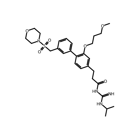 COCCCOc1cc(CCC(=O)NC(=N)NC(C)C)ccc1-c1cccc(CS(=O)(=O)N2CCOCC2)c1